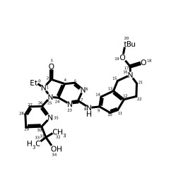 CCn1c(=O)c2cnc(Nc3ccc4c(c3)CN(C(=O)OC(C)(C)C)CC4)nc2n1-c1cccc(C(C)(C)O)n1